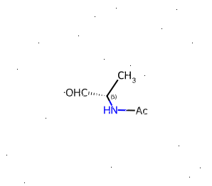 CC(=O)N[C@@H](C)[C]=O